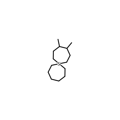 CC1CC[Si]2(CCCCCC2)CCC1C